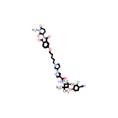 CN1C(=O)CCC(N2C(=O)c3ccc(OCCCCCN4CCC(n5cc(C(=O)N[C@H]6C(C)(C)[C@H](Oc7ccc(C#N)c(Cl)c7)C6(C)C)cn5)C4)cc3C2=O)C1=O